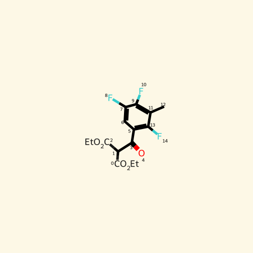 CCOC(=O)C(C(=O)OCC)C(=O)c1cc(F)c(F)c(C)c1F